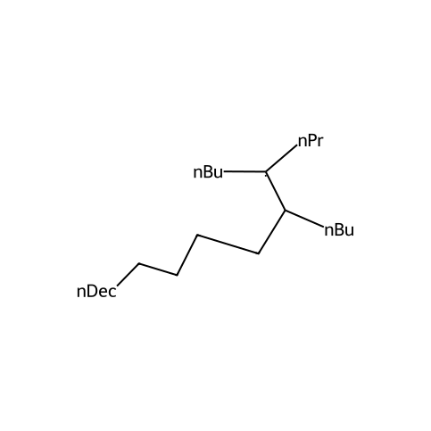 CCCCCCCCCCCCCCC(CCCC)[C](CCC)CCCC